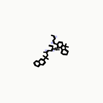 C=C/C(=C\C=C(\C)CC(C)(C)c1ccc2ccccc2c1)Nc1c(/C=C\C=C/C)ccc2c1-c1ccccc1C2(C)C